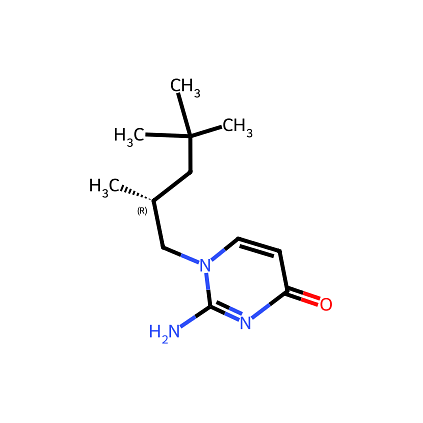 C[C@@H](Cn1ccc(=O)nc1N)CC(C)(C)C